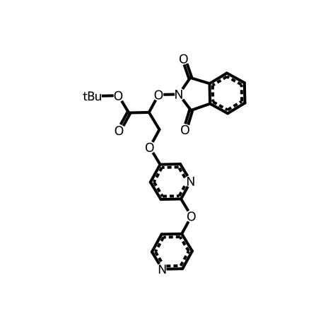 CC(C)(C)OC(=O)C(COc1ccc(Oc2ccncc2)nc1)ON1C(=O)c2ccccc2C1=O